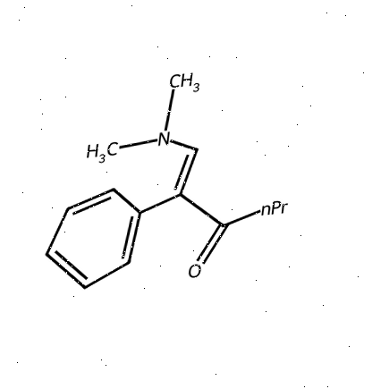 CCCC(=O)/C(=C/N(C)C)c1ccccc1